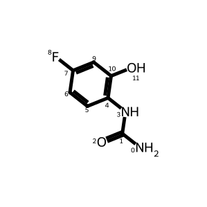 NC(=O)Nc1ccc(F)cc1O